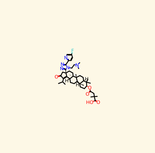 CC(C)C1=C2[C@H]3CC[C@@H]4[C@@]5(C)CC[C@H](OC(=O)CC(C)(C)C(=O)O)C(C)(C)[C@@H]5CC[C@@]4(C)[C@]3(C)CC[C@@]2(c2nnc(-c3ccc(F)cn3)n2CCN(C)C)CC1=O